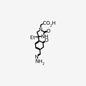 CC[C@@]1(C2=CC=C(C=NN)CC2=O)CN(CC(=O)O)C(=O)N1